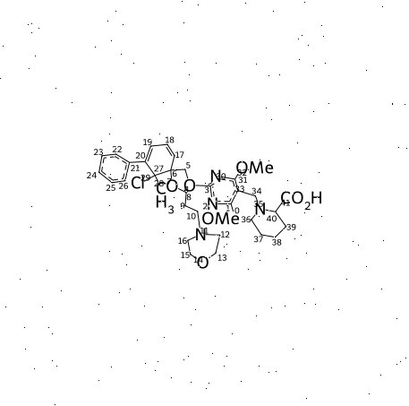 COc1nc(OCC2(OCCCN3CCOCC3)C=CC=C(c3ccccc3)C2(C)Cl)nc(OC)c1CN1CCCCC1C(=O)O